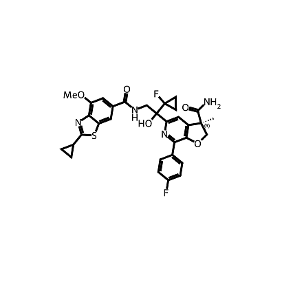 COc1cc(C(=O)NCC(O)(c2cc3c(c(-c4ccc(F)cc4)n2)OC[C@]3(C)C(N)=O)C2(F)CC2)cc2sc(C3CC3)nc12